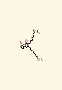 CCCCCCCCc1cc2c(c(Br)c1CCCCCCCC)C(Br)c1ccccc1-2